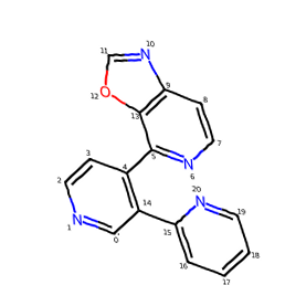 [c]1nccc(-c2nccc3ncoc23)c1-c1ccccn1